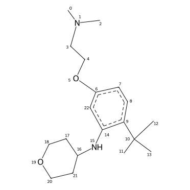 CN(C)CCOc1ccc(C(C)(C)C)c(NC2CCOCC2)c1